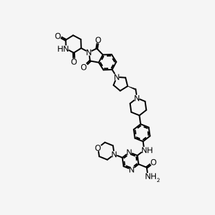 NC(=O)c1ncc(N2CCOCC2)nc1Nc1ccc(C2CCN(C[C@H]3CCN(c4ccc5c(c4)C(=O)N(C4CCC(=O)NC4=O)C5=O)C3)CC2)cc1